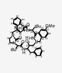 CCC(C)C(C(=O)NC(Cc1ccccc1)C(O)CN(Cc1ccc(OC)cc1)NC(=O)C(NC(=O)OC)C(C)(C)C)N1CCN(Cc2ccnc3ccccc23)C1=O